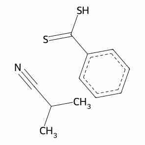 CC(C)C#N.S=C(S)c1ccccc1